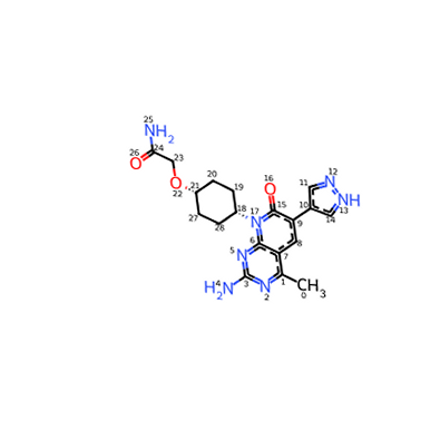 Cc1nc(N)nc2c1cc(-c1cn[nH]c1)c(=O)n2[C@H]1CC[C@@H](OCC(N)=O)CC1